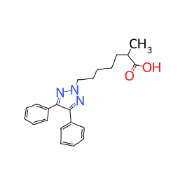 CC(CCCCCn1nc(-c2ccccc2)c(-c2ccccc2)n1)C(=O)O